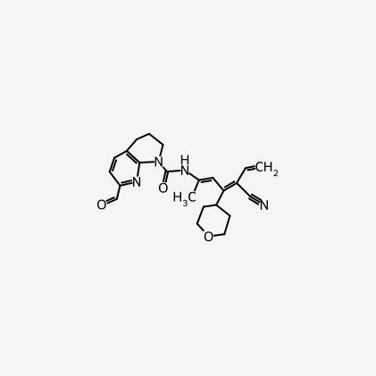 C=C/C(C#N)=C(\C=C(/C)NC(=O)N1CCCc2ccc(C=O)nc21)C1CCOCC1